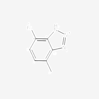 Cc1ccc(Br)c2[nH]nnc12